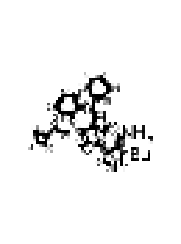 CCCC[C@H](C(N)=O)[C@@H](CC(C)C)C(=O)NC1CN(c2ccccc2)c2ccccc2N(CCC2CCC2)C1=O